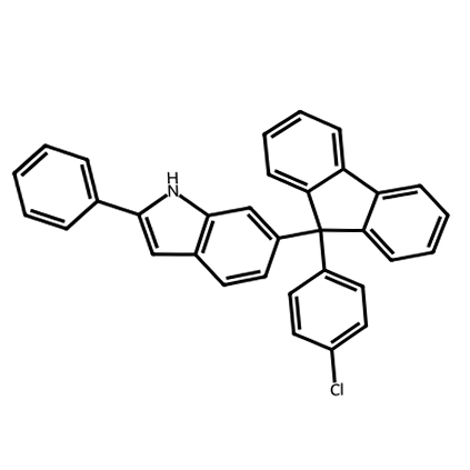 Clc1ccc(C2(c3ccc4cc(-c5ccccc5)[nH]c4c3)c3ccccc3-c3ccccc32)cc1